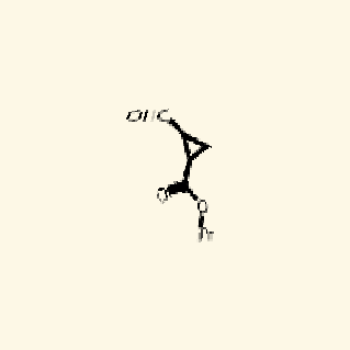 CC(C)OC(=O)C1CC1C=O